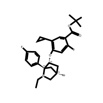 CCN1C[C@@H]2C[C@@H](Oc3cc(F)c(C(=O)OC(C)(C)C)cc3C3CC3)[C@]1(c1ccc(F)cc1)C2